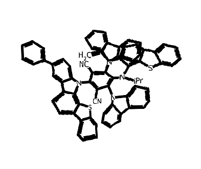 C=CCc1ccc2c(sc3ccccc32)c1N(c1c(-n2c3ccccc3c3ccccc32)c(C#N)c(-n2c3ccc(-c4ccccc4)cc3c3ccc4c5ccccc5sc4c32)c(C#N)c1-n1c2ccccc2c2ccccc21)C(C)C